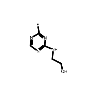 OCCNc1n[c]nc(F)n1